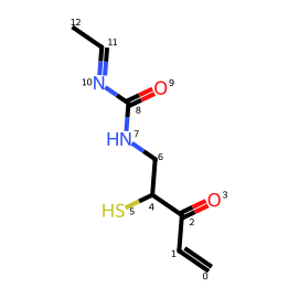 C=CC(=O)C(S)CNC(=O)N=CC